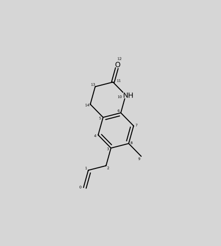 C=CCc1cc2c(cc1C)NC(=O)CC2